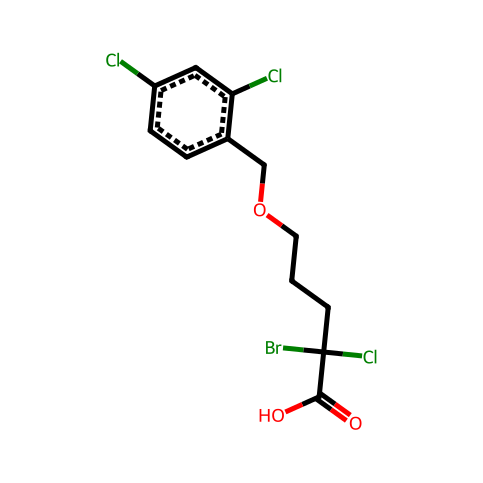 O=C(O)C(Cl)(Br)CCCOCc1ccc(Cl)cc1Cl